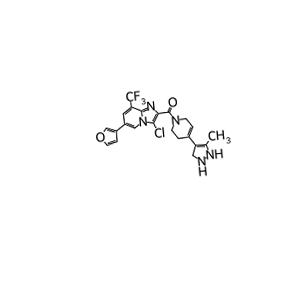 CC1=C(C2=CCN(C(=O)c3nc4c(C(F)(F)F)cc(-c5ccoc5)cn4c3Cl)CC2)CNN1